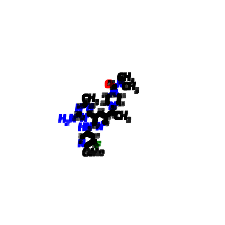 COc1ncc(Nc2ncc(C(C)N3CCN(C(=O)N(C)C)CC3)cc2-c2nc(C)nc(N)n2)cc1F